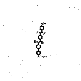 CCCCCc1ccc(C2CCC(C(Br)C(Br)C3CCC(C(Br)C(Br)C4CCC(CCC)CC4)CC3)CC2)cc1